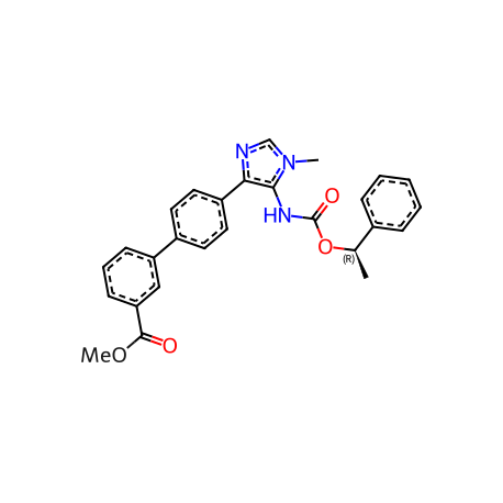 COC(=O)c1cccc(-c2ccc(-c3ncn(C)c3NC(=O)O[C@H](C)c3ccccc3)cc2)c1